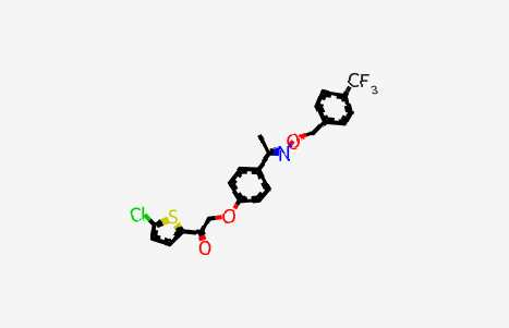 C/C(=N\OCc1ccc(C(F)(F)F)cc1)c1ccc(OCC(=O)c2ccc(Cl)s2)cc1